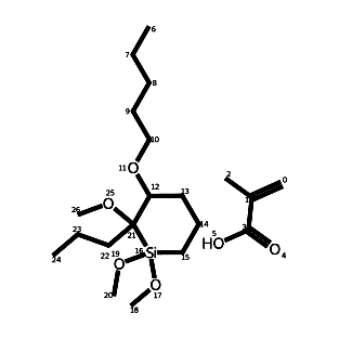 C=C(C)C(=O)O.CCCCCOC1CCC[Si](OC)(OC)C1(CCC)OC